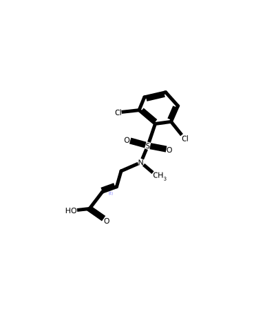 CN(C/C=C/C(=O)O)S(=O)(=O)c1c(Cl)cccc1Cl